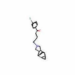 O=C(CCCN1CC2C3C=CC(C4CC34)C2C1)c1ccc(F)cc1